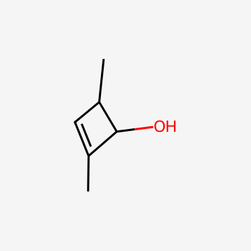 CC1=CC(C)C1O